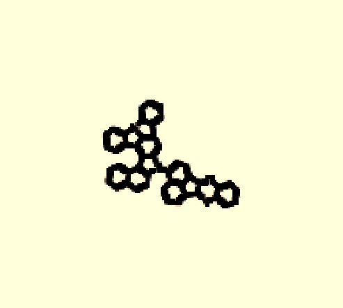 c1ccc2c(c1)ccc1c2c2c3c4ccccc4n4c5ccccc5c(cc2n1-c1ccc2c5c(cccc15)-c1nc5ccccc5nc1-2)c34